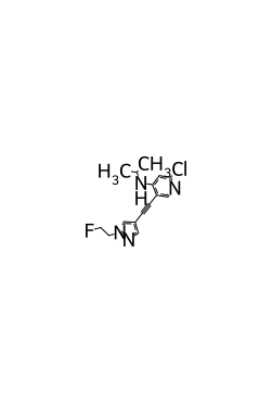 CC(C)Nc1cc(Cl)ncc1C#Cc1cnn(CCF)c1